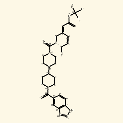 C=C(/C=C(\C=C/CCl)COC(=O)N1CCN(C2CCN(C(=O)c3ccc4[nH]nnc4c3)CC2)CC1)OC(F)(F)F